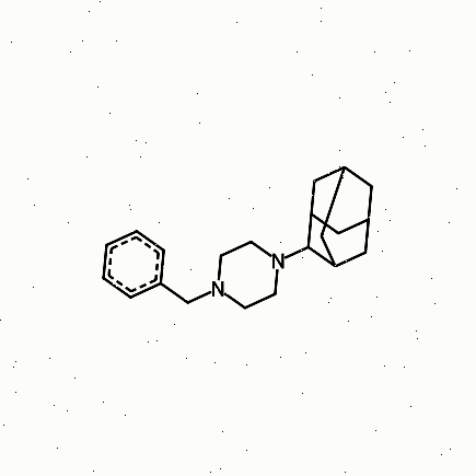 c1ccc(CN2CCN(C3C4CC5CC(C4)CC3C5)CC2)cc1